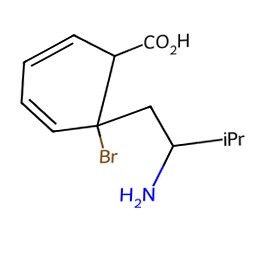 CC(C)C(N)CC1(Br)C=CC=CC1C(=O)O